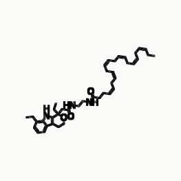 CC/C=C\C/C=C\C/C=C\C/C=C\C/C=C\C/C=C\CCC(=O)NCCNC(=O)CC1(CC)OCCc2c1[nH]c1c(CC)cccc21